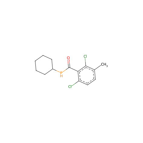 Cc1ccc(Cl)c(C(=O)PC2CCCCC2)c1Cl